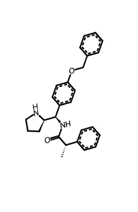 C[C@H](C(=O)N[C@H](c1ccc(OCc2ccccc2)cc1)[C@H]1CCCN1)c1ccccc1